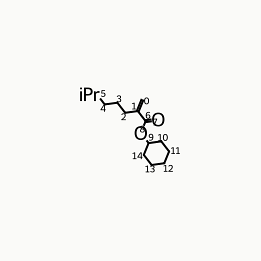 C=C(CCCC(C)C)C(=O)OC1CCCCC1